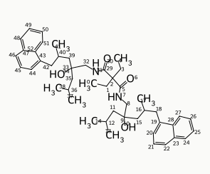 CCC(CC)(C(=O)NCC(O)(CC(C)C)CC(C)Cc1cccc2ccccc12)C(=O)NCC(O)(CC(C)C)CC(C)Cc1cccc2ccccc12